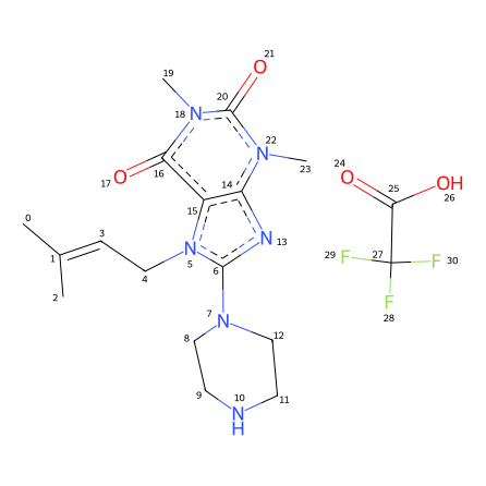 CC(C)=CCn1c(N2CCNCC2)nc2c1c(=O)n(C)c(=O)n2C.O=C(O)C(F)(F)F